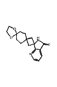 O=C1NC2(CC3(CCC4(CC3)OCCO4)C2)c2ncccc21